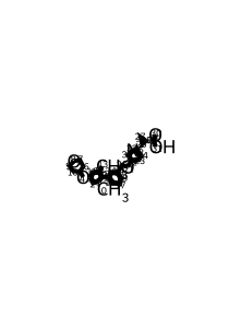 Cc1cc(OC2CCOCC2)cc(C)c1-c1cccc(COc2ccc([C@H]3C[C@@H]3C(=O)O)nc2)c1